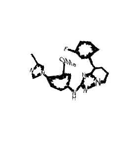 COc1cc(Nc2nc3n(n2)CCCC3c2cccc(F)c2)ccc1-n1cnc(C)c1